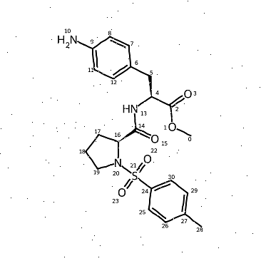 COC(=O)[C@H](Cc1ccc(N)cc1)NC(=O)[C@@H]1CCCN1S(=O)(=O)c1ccc(C)cc1